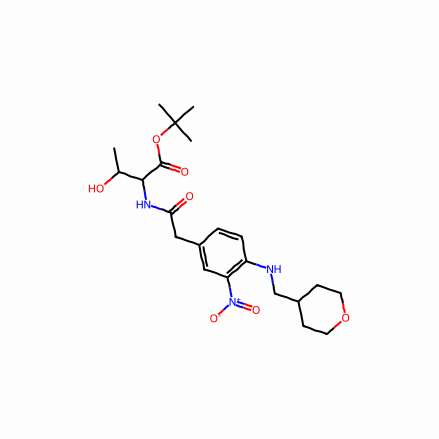 CC(O)C(NC(=O)Cc1ccc(NCC2CCOCC2)c([N+](=O)[O-])c1)C(=O)OC(C)(C)C